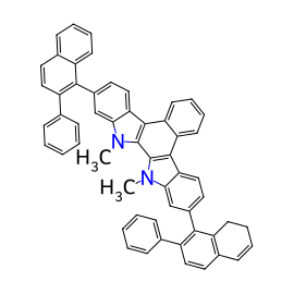 Cn1c2cc(-c3c(-c4ccccc4)ccc4c3CCC=C4)ccc2c2c3ccccc3c3c4ccc(-c5c(-c6ccccc6)ccc6ccccc56)cc4n(C)c3c21